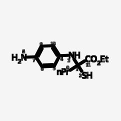 CCCC(S)(Nc1ccc(N)cc1)C(=O)OCC